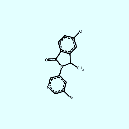 CC1c2cc(Cl)ccc2C(=O)N1c1cncc(Br)c1